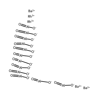 [Ba+2].[Ba+2].[Ba+2].[O]=[Al][O-].[O]=[Al][O-].[O]=[Al][O-].[O]=[Al][O-].[O]=[Al][O-].[O]=[Al][O-].[O]=[Al][O-].[O]=[Al][O-].[O]=[Al][O-].[O]=[Al][O-].[O]=[Al][O-].[O]=[Al][O-].[Rh+3].[Rh+3]